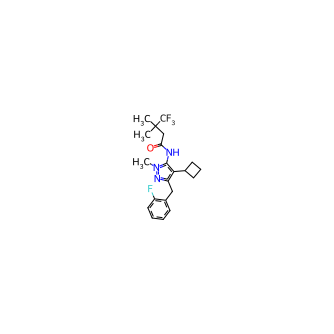 Cn1nc(Cc2ccccc2F)c(C2CCC2)c1NC(=O)CC(C)(C)C(F)(F)F